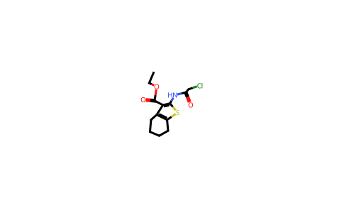 CCOC(=O)c1c(NC(=O)CCl)sc2c1CCCC2